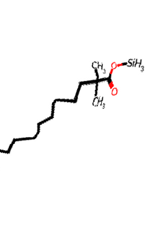 CCCCCCCCCCC(C)(C)C(=O)O[SiH3]